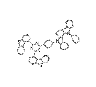 c1ccc(-n2c3ccccc3c3ccc4c(c5ccccc5n4-c4ccc(-c5nc(-c6cccc7sc8ccccc8c67)nc(-c6cccc7sc8ccccc8c67)n5)cc4)c32)cc1